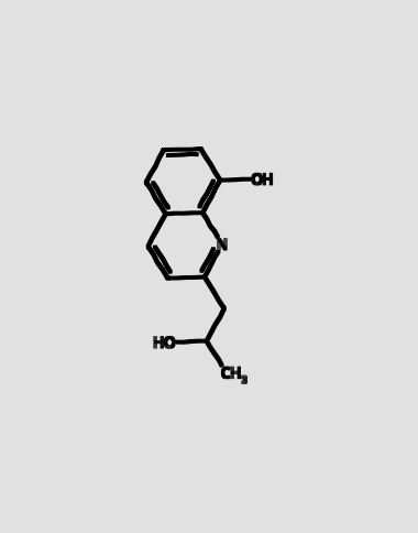 CC(O)Cc1ccc2cccc(O)c2n1